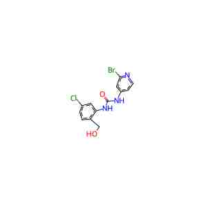 O=C(Nc1ccnc(Br)c1)Nc1cc(Cl)ccc1CO